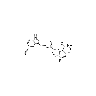 CCCN(CCCc1c[nH]c2ccc(C#N)cc12)C1COc2c(F)cc3c(c2C1)C(=O)NCC3